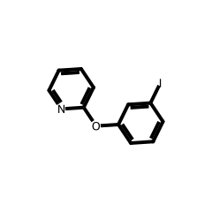 Ic1cccc(Oc2ccccn2)c1